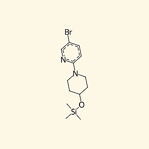 C[Si](C)(C)OC1CCN(c2ccc(Br)cn2)CC1